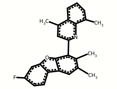 Cc1cc2c(oc3cc(F)ccc32)c(-c2cc(C)c3cccc(C)c3n2)c1C